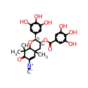 [C-]#[N+]C1=CC2(C)C[C@H](OC(=O)c3cc(O)c(O)c(O)c3)[C@H](c3cc(O)c(O)c(O)c3)OC2C(C)(C)C1=O